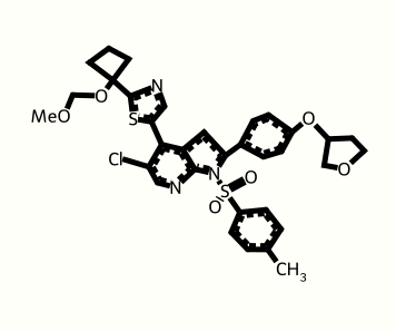 COCOC1(c2ncc(-c3c(Cl)cnc4c3cc(-c3ccc(OC5CCOC5)cc3)n4S(=O)(=O)c3ccc(C)cc3)s2)CCC1